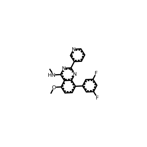 CNc1nc(-c2cccnc2)nc2c(-c3cc(F)cc(F)c3)ccc(OC)c12